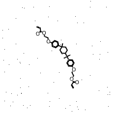 C=CC(=O)OCCOc1ccc(C2(C)CCC(C(C)(C)c3ccc(OCCOC(=O)C=C)cc3)CC2)cc1